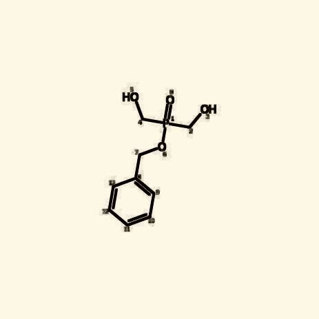 O=P(CO)(CO)OCc1ccccc1